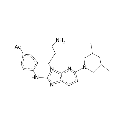 CC(=O)c1ccc(Nc2nc3ccc(N4CC(C)CC(C)C4)nc3n2CCCN)cc1